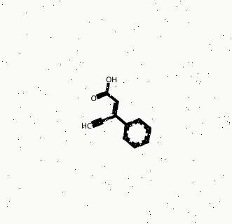 C#CC(=CC(=O)O)c1ccccc1